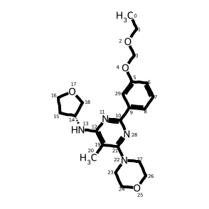 CCOCOc1cccc(-c2nc(N[C@@H]3CCOC3)c(C)c(N3CCOCC3)n2)c1